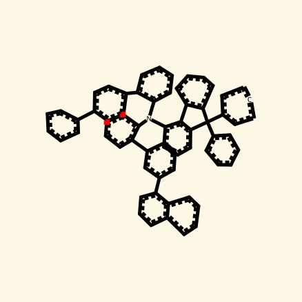 c1ccc(-c2ccc(-c3ccccc3N(c3ccccc3-c3cccc(-c4cccc5ccccc45)c3)c3cccc4c3-c3ccccc3C4(c3ccccc3)c3ccccc3)cc2)cc1